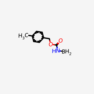 BNC(=O)OCc1ccc(C)cc1